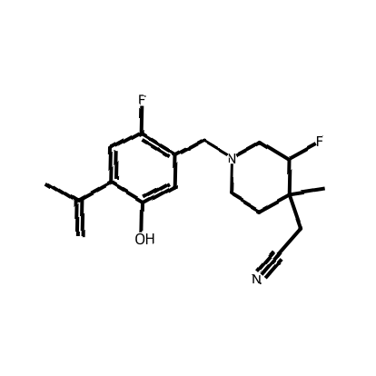 C=C(C)c1cc(F)c(CN2CCC(C)(CC#N)C(F)C2)cc1O